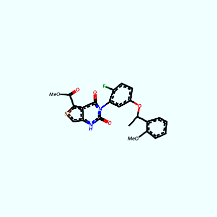 COC(=O)c1scc2[nH]c(=O)n(-c3cc(OC(C)c4ccccc4OC)ccc3F)c(=O)c12